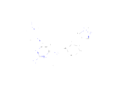 CC1Cc2ccc(-c3cnn(C)c3)cc2CN1c1cc(N2CCNCC2)nc(N)n1